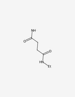 CCNC(=O)CCC([NH])=O